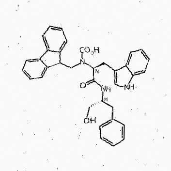 O=C(N[C@@H](CO)Cc1ccccc1)[C@H](Cc1c[nH]c2ccccc12)N(CC1c2ccccc2-c2ccccc21)C(=O)O